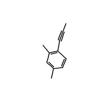 CC#Cc1ccc(C)cc1C